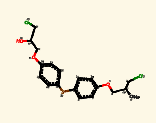 CO[C@H](CCl)COc1ccc(Sc2ccc(OCC(O)CCl)cc2)cc1